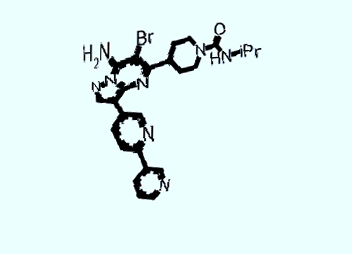 CC(C)NC(=O)N1CCC(c2nc3c(-c4ccc(-c5cccnc5)nc4)cnn3c(N)c2Br)CC1